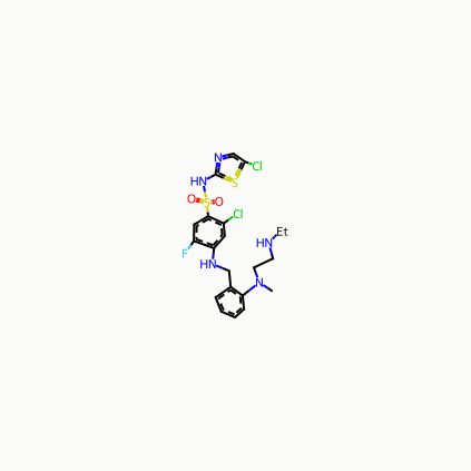 CCNCCN(C)c1ccccc1CNc1cc(Cl)c(S(=O)(=O)Nc2ncc(Cl)s2)cc1F